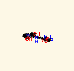 CC(C(=O)NCCCCCC(=O)N(N)C(=O)OC(C)(C)C)c1cc(/N=N/c2ccccc2C(=O)O)ccc1O